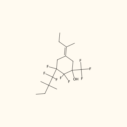 CC/C(C)=C1/CC(O)(C(F)(F)F)C(F)(F)C(F)(C(F)(F)C(C)(C)CC)C1